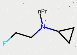 CCCN(CCF)C1CC1